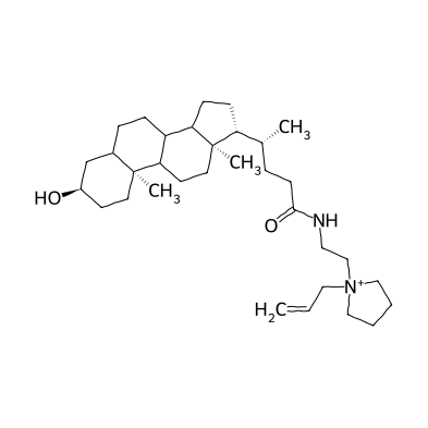 C=CC[N+]1(CCNC(=O)CC[C@@H](C)[C@H]2CCC3C4CCC5C[C@H](O)CC[C@]5(C)C4CC[C@@]32C)CCCC1